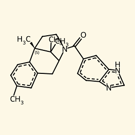 Cc1ccc2c(c1)CC1N(C(=O)c3ccc4nc[nH]c4c3)CC[C@]2(C)C1(C)C